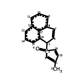 CC1=CP(=O)(C2C=Cc3cccc4cccc2c34)C=C1